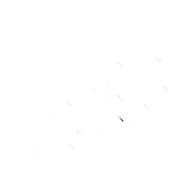 Cc1nn2cc([C@H](C)Nc3ncnc(N)c3C#N)c(-c3ccc(F)c(F)c3)nc2c1Cl